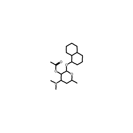 CC(=O)OC1C(OC2CCCC3CCCCC32)OC(C)CC1N(C)C